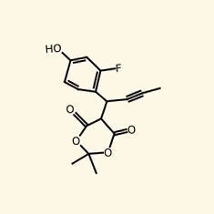 CC#CC(c1ccc(O)cc1F)C1C(=O)OC(C)(C)OC1=O